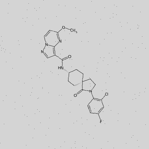 COc1ccn2ncc(C(=O)N[C@H]3CC[C@@]4(CCN(c5ccc(F)cc5Cl)C4=O)CC3)c2n1